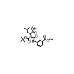 CCOC(=O)c1cccc(NC(=O)N(C(=O)OC(C)(C)C)[C@@H](CC(C)C)C(=O)O)c1